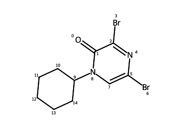 O=c1c(Br)nc(Br)cn1C1CCCCC1